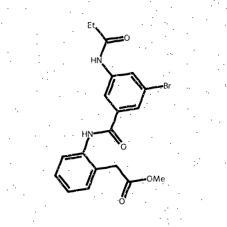 CCC(=O)Nc1cc(Br)cc(C(=O)Nc2ccccc2CC(=O)OC)c1